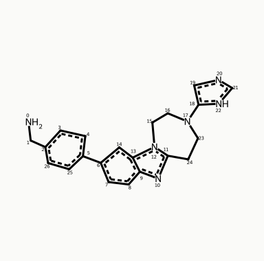 NCc1ccc(-c2ccc3nc4n(c3c2)CCN(c2cnc[nH]2)CC4)cc1